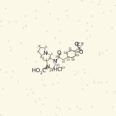 CC1C(CN2CCCC2)N(C(=O)Cc2ccc(S(C)(=O)=O)cc2)CCN1C(=O)O.Cl